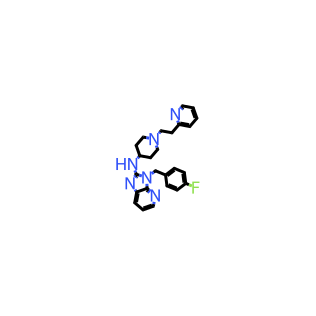 Fc1ccc(Cn2c(NC3CCN(CCc4ccccn4)CC3)nc3cccnc32)cc1